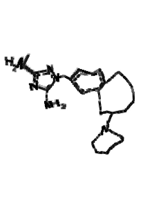 Nc1nc(N)n(-c2ccc3c(c2)CC(N2CCCC2)CCCC3)n1